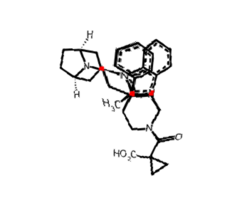 Cc1nc2ccccc2n1[C@H]1C[C@H]2CC[C@@H](C1)N2CCC1(c2ccccc2)CCN(C(=O)C2(C(=O)O)CC2)CC1